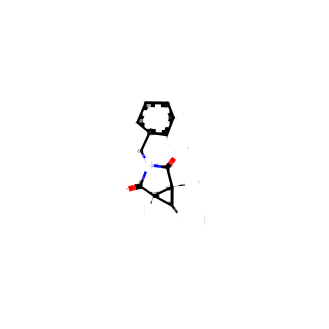 O=C(O)C1[C@H]2C(=O)N(Cc3ccccc3)C(=O)[C@@H]12